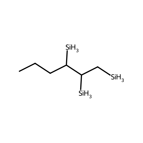 CCCC([SiH3])C([SiH3])C[SiH3]